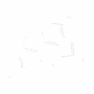 CC1=Cc2c(Br)ccc(-c3c(C)cc(C)cc3C)c2C1